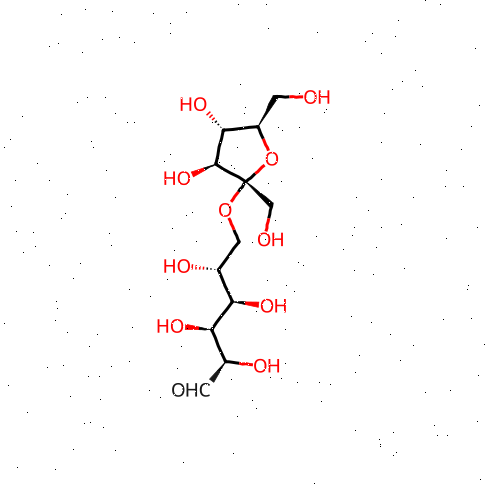 O=C[C@H](O)[C@@H](O)[C@H](O)[C@H](O)CO[C@@]1(CO)O[C@H](CO)[C@@H](O)[C@@H]1O